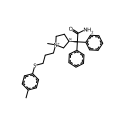 Cc1ccc(SCCC[N+]2(C)CC[C@@H](C(C(N)=O)(c3ccccc3)c3ccccc3)C2)cc1